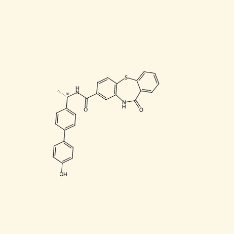 C[C@H](NC(=O)c1ccc2c(c1)NC(=O)c1ccccc1S2)c1ccc(-c2ccc(O)cc2)cc1